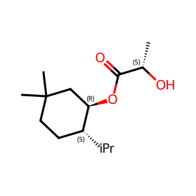 CC(C)[C@@H]1CCC(C)(C)C[C@H]1OC(=O)[C@H](C)O